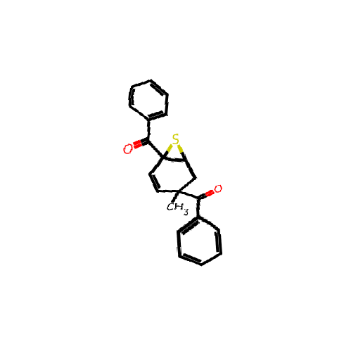 CC1(C(=O)c2ccccc2)C=CC2(C(=O)c3ccccc3)SC2C1